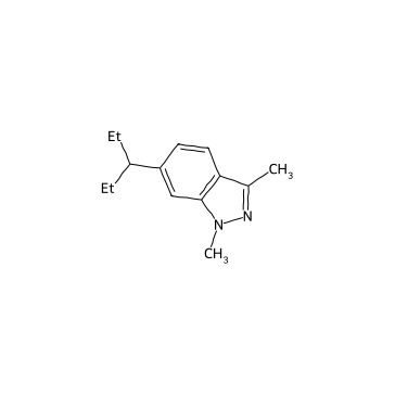 CCC(CC)c1ccc2c(C)nn(C)c2c1